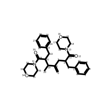 C=C(CC(Cc1ccccc1)C(=O)N1CCOCC1)C(C)C(Cc1ccccc1)C(=O)N1CCOCC1